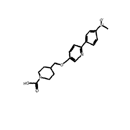 C[S+]([O-])c1ccc(-c2ccc(OCC3CCN(C(=O)O)CC3)cn2)cc1